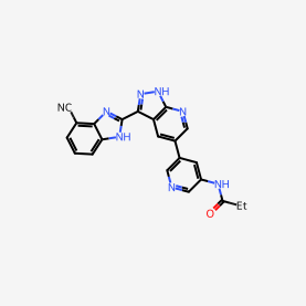 CCC(=O)Nc1cncc(-c2cnc3[nH]nc(-c4nc5c(C#N)cccc5[nH]4)c3c2)c1